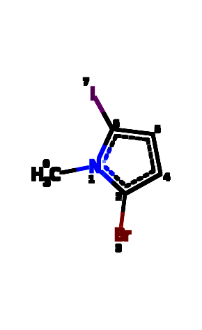 Cn1c(Br)ccc1I